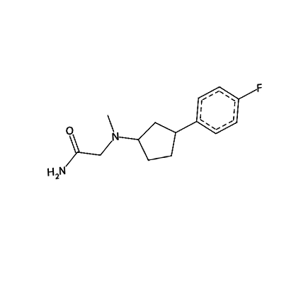 CN(CC(N)=O)C1CCC(c2ccc(F)cc2)C1